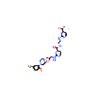 COc1ccc(Cl)cc1N1CCN(CC(O)CNc2nccc(C(=O)NCCNc3nccc(C(N)=O)n3)n2)CC1